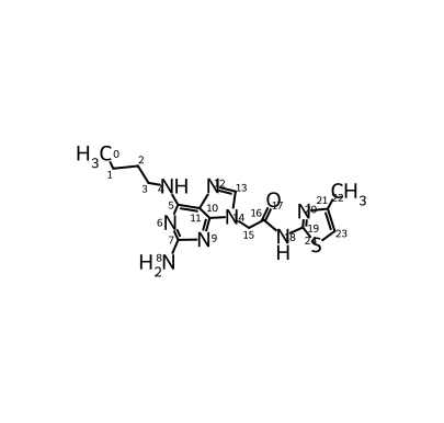 CCCCNc1nc(N)nc2c1ncn2CC(=O)Nc1nc(C)cs1